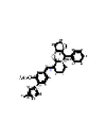 COc1cc(/C=C2\CCCN(C(c3ccccc3)C3CCCO3)C2=O)ccc1-n1cnc(C)c1